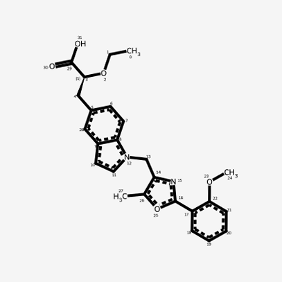 CCO[C@@H](Cc1ccc2c(ccn2Cc2nc(-c3ccccc3OC)oc2C)c1)C(=O)O